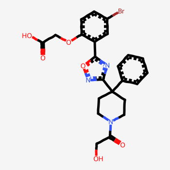 O=C(O)COc1ccc(Br)cc1-c1nc(C2(c3ccccc3)CCN(C(=O)CO)CC2)no1